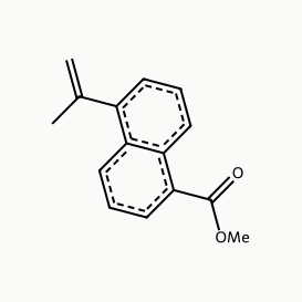 C=C(C)c1cccc2c(C(=O)OC)cccc12